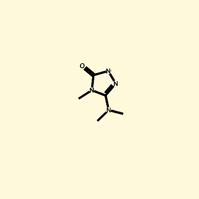 CN(C)C1=N[N]C(=O)N1C